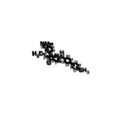 C=CCn1c(=O)c2cnc(Nc3ccc(N4CCN(C)CC4)cc3)nc2n1-c1cccc(CNC)n1